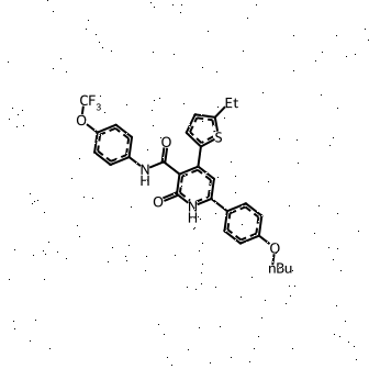 CCCCOc1ccc(-c2cc(-c3ccc(CC)s3)c(C(=O)Nc3ccc(OC(F)(F)F)cc3)c(=O)[nH]2)cc1